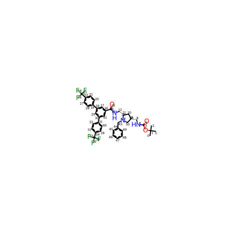 CC(C)(C)OC(=O)NC[C@H]1C[C@@H](CNC(=O)c2cc(-c3ccc(C(F)(F)F)cc3)cc(-c3ccc(C(F)(F)F)cc3)c2)N(Cc2ccccc2)C1